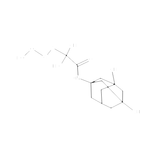 CC12CC3CC(C)(C1)CC(NC(=O)C(C)(C)SOOO)(C3)C2